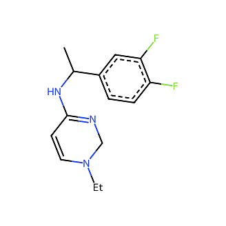 CCN1C=CC(NC(C)c2ccc(F)c(F)c2)=NC1